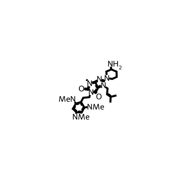 CNc1cc(NC)c(CCn2c(=O)c3c(nc(N4CCCC(N)C4)n3CC=C(C)C)n(C)c2=O)c(NC)c1